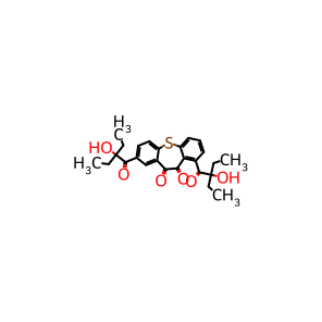 CCC(O)(CC)C(=O)c1ccc2sc3cccc(C(=O)C(O)(CC)CC)c3c(=O)c(=O)c2c1